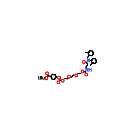 Cc1ccccc1CN(C(=O)CCNC(=O)OCCOCCOCCOC(=O)Oc1ccc(C(=O)OC(C)(C)C)cc1)c1ccccc1C